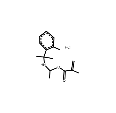 C=C(C)C(=O)OC(C)NC(C)(C)c1ccccc1C.Cl